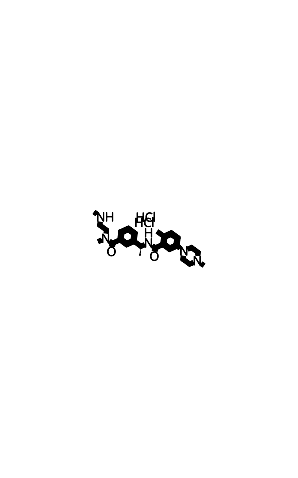 CNCCN(C)C(=O)c1cccc([C@@H](C)NC(=O)c2cc(N3CCN(C)CC3)ccc2C)c1.Cl.Cl